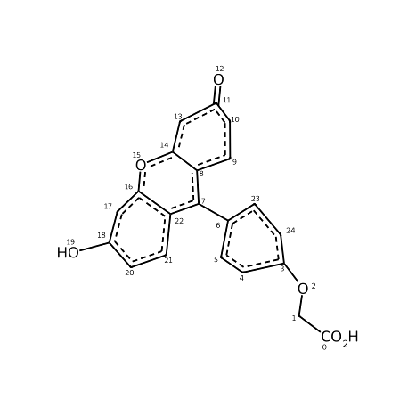 O=C(O)COc1ccc(-c2c3ccc(=O)cc-3oc3cc(O)ccc23)cc1